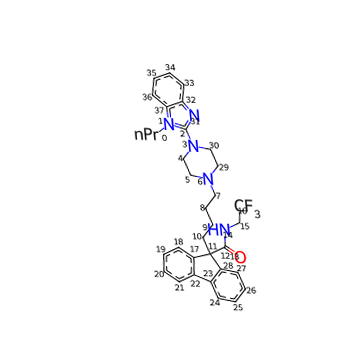 CCCn1c(N2CCN(CCCCC3(C(=O)NCC(F)(F)F)c4ccccc4-c4ccccc43)CC2)nc2ccccc21